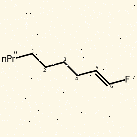 CCCCCCC/C=C/F